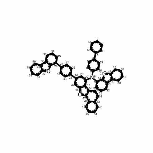 c1ccc(-c2ccc(N(c3cccc4c3sc3ccccc34)c3cc(-c4ccc(-c5cccc6c5oc5ccccc56)cc4)cc4oc5c6ccccc6ccc5c34)cc2)cc1